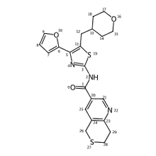 O=C(Nc1nc(-c2ccco2)c(CC2CCOCC2)s1)c1cnc2c(c1)CSCC2